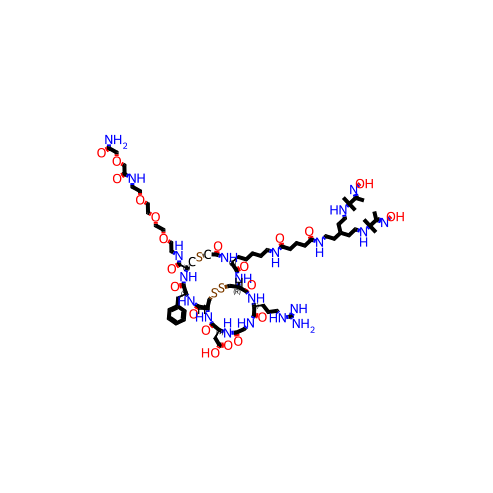 CC(=NO)C(C)(C)NCCC(CCNC(=O)CCCC(=O)NCCCCC[C@@H]1NC(=O)CSC[C@H](C(=O)NCCOCCOCCOCCNC(=O)COCC(N)=O)NC(=O)[C@H](Cc2ccccc2)NC(=O)[C@@H]2CSSC[C@H](NC1=O)C(=O)N[C@@H](CCCNC(=N)N)C(=O)NCC(=O)N[C@@H](CC(=O)O)C(=O)N2)CCNC(C)(C)C(C)=NO